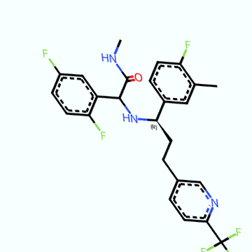 CNC(=O)C(N[C@H](CCc1ccc(C(F)(F)F)nc1)c1ccc(F)c(C)c1)c1cc(F)ccc1F